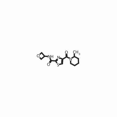 CC1CCCCN1C(=O)c1csc(C(=O)NC2COC2)n1